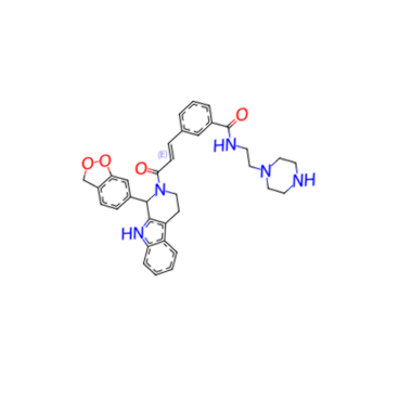 O=C(NCCN1CCNCC1)c1cccc(/C=C/C(=O)N2CCc3c([nH]c4ccccc34)C2c2ccc3c(c2)OOC3)c1